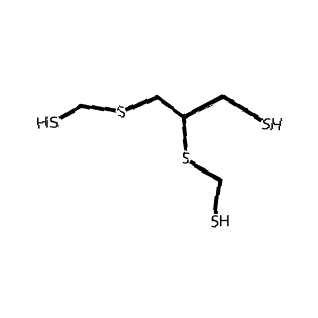 SCSCC(CS)SCS